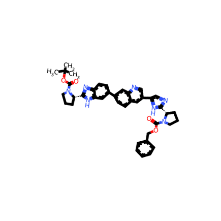 CC(C)(C)OC(=O)N1CCC[C@H]1c1nc2ccc(-c3ccc4cc(-c5cnc([C@@H]6CCCN6C(=O)OCc6ccccc6)[nH]5)cnc4c3)cc2[nH]1